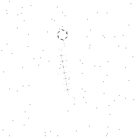 FC(F)(F)CCC(F)(F)C(F)(F)C(F)(F)C(F)(F)C(F)(F)C(F)(F)C(F)(F)NCc1ccccc1